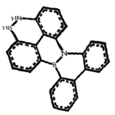 B1Nc2cccc3c2-c2c1cccc2B1c2ccccc2-c2ccccc2N13